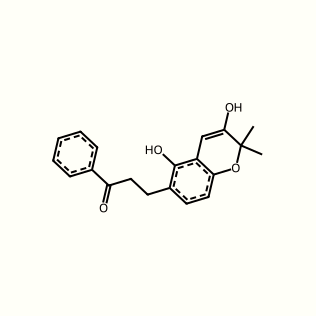 CC1(C)Oc2ccc(CCC(=O)c3ccccc3)c(O)c2C=C1O